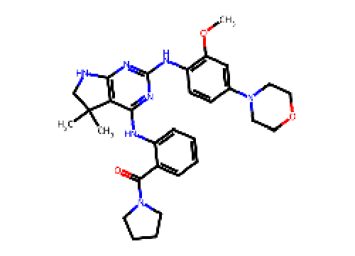 COc1cc(N2CCOCC2)ccc1Nc1nc2c(c(Nc3ccccc3C(=O)N3CCCC3)n1)C(C)(C)CN2